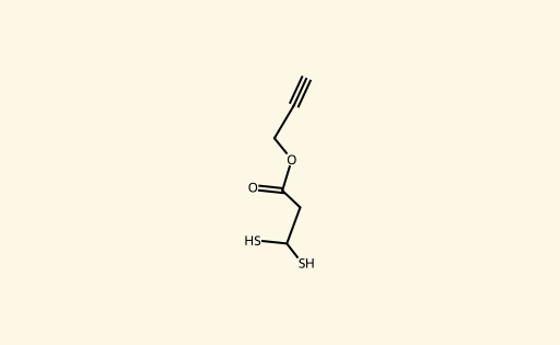 C#CCOC(=O)CC(S)S